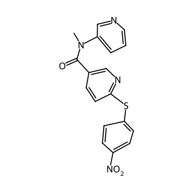 CN(C(=O)c1ccc(Sc2ccc([N+](=O)[O-])cc2)nc1)c1cccnc1